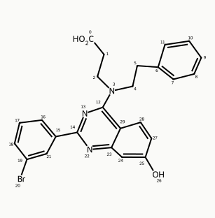 O=C(O)CCN(CCc1ccccc1)c1nc(-c2cccc(Br)c2)nc2cc(O)ccc12